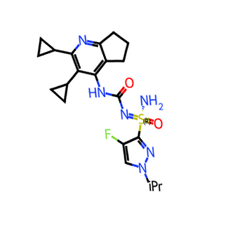 CC(C)n1cc(F)c([S@](N)(=O)=NC(=O)Nc2c3c(nc(C4CC4)c2C2CC2)CCC3)n1